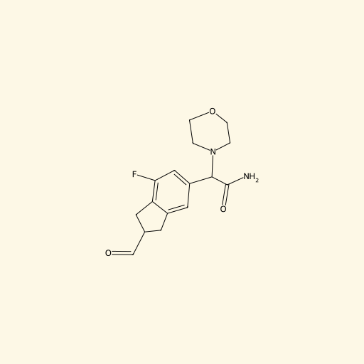 NC(=O)C(c1cc(F)c2c(c1)CC(C=O)C2)N1CCOCC1